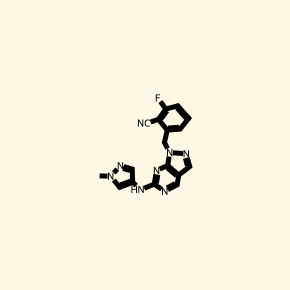 Cn1cc(Nc2ncc3cnn(Cc4cccc(F)c4C#N)c3n2)cn1